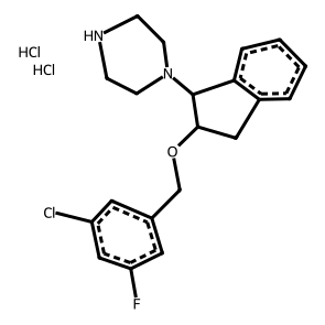 Cl.Cl.Fc1cc(Cl)cc(COC2Cc3ccccc3C2N2CCNCC2)c1